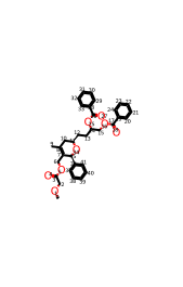 COCC(=O)OCC1=C(C)C[C@@H](CCC(COC(=O)c2ccccc2)OC(=O)c2ccccc2)O[C@H]1c1ccccc1